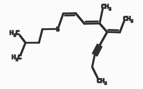 C\C=C(C#CCC)/C(C)=C/C=C\SCCC(C)C